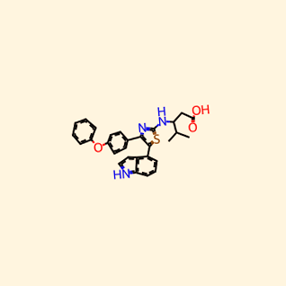 CC(C)C(CC(=O)O)Nc1nc(-c2ccc(Oc3ccccc3)cc2)c(-c2cccc3[nH]ccc23)s1